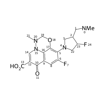 CNCC1CN(c2c(F)cc3c(=O)c(C(=O)O)cn4c3c2OCN4C)CC1F